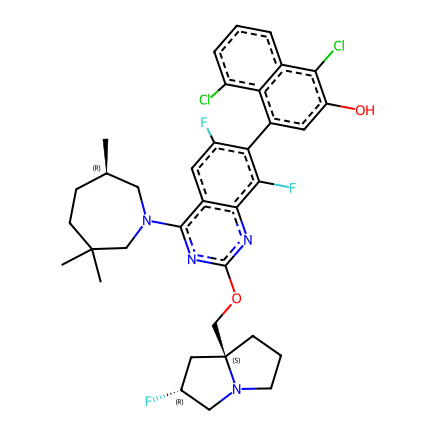 C[C@@H]1CCC(C)(C)CN(c2nc(OC[C@@]34CCCN3C[C@H](F)C4)nc3c(F)c(-c4cc(O)c(Cl)c5cccc(Cl)c45)c(F)cc23)C1